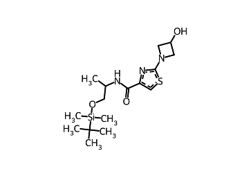 CC(CO[Si](C)(C)C(C)(C)C)NC(=O)c1csc(N2CC(O)C2)n1